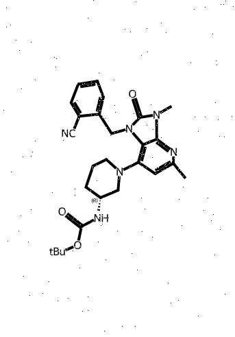 Cc1cc(N2CCC[C@@H](NC(=O)OC(C)(C)C)C2)c2c(n1)n(C)c(=O)n2Cc1ccccc1C#N